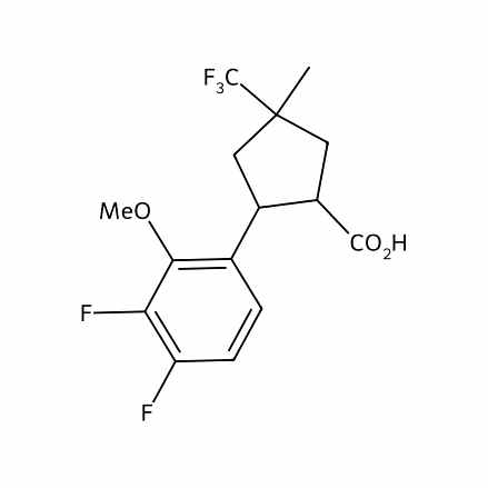 COc1c(C2CC(C)(C(F)(F)F)CC2C(=O)O)ccc(F)c1F